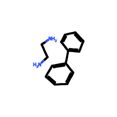 NCCN.c1ccc(-c2ccccc2)cc1